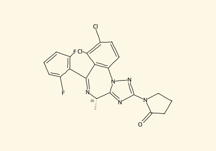 C[C@@H]1N=C(c2c(F)cccc2F)c2c(ccc(Cl)c2Cl)-n2nc(N3CCCC3=O)nc21